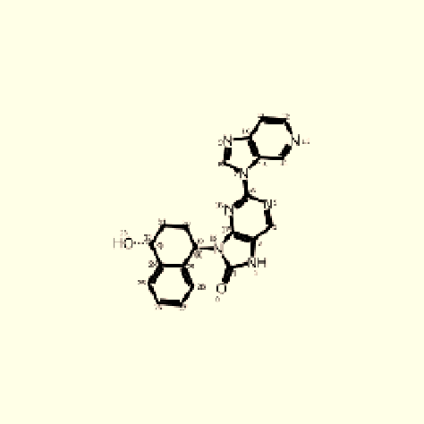 O=c1[nH]c2cnc(-n3cnc4ccncc43)nc2n1[C@@H]1CC[C@@H](O)c2ccccc21